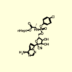 CCCCCCCOC(=O)[C@H](C)NP(=O)(OC[C@H]1O[C@@](C#N)(c2ccc3c(N)ncnn23)[C@](C)(O)[C@@H]1O)Oc1ccc(Cl)cc1